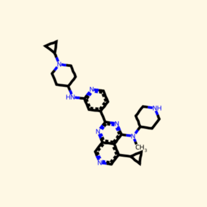 CN(c1nc(-c2ccnc(NC3CCN(C4CC4)CC3)c2)nc2cncc(C3CC3)c12)C1CCNCC1